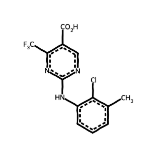 Cc1cccc(Nc2ncc(C(=O)O)c(C(F)(F)F)n2)c1Cl